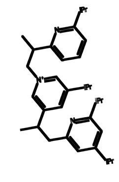 CC(C)c1cc(CC(C)c2cc(C(C)C)c[n+](CC(C)c3cccc(C(C)C)n3)c2)nc(C(C)C)c1